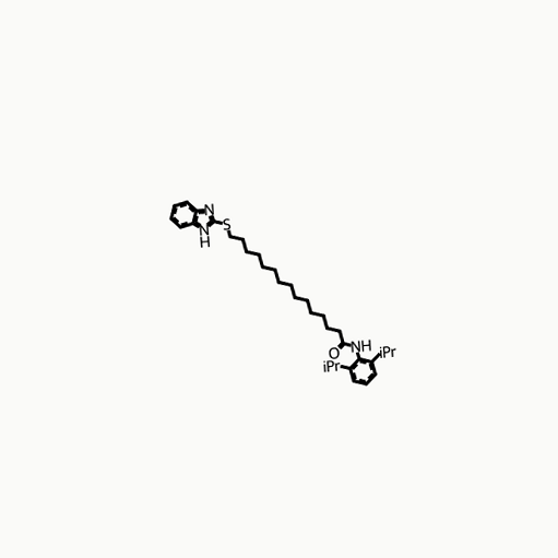 CC(C)c1cccc(C(C)C)c1NC(=O)CCCCCCCCCCCCCCSc1nc2ccccc2[nH]1